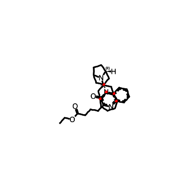 CCOC(=O)CCCc1nc2ccccc2n([C@@H]2CC3CC[C@H](C2)N3C2CC3CCCCC(C3)C2)c1=O